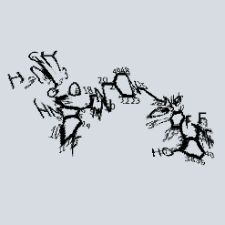 CC(C)COC(=O)c1[nH]c2ccc(F)cc2c1-c1cn(CC2CCN(CCNS(=O)(=O)c3ccc(-c4c(O)cccc4C(F)(F)F)cc3)CC2)nn1